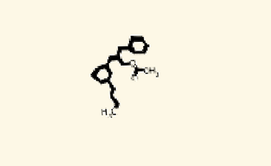 CCCCc1cccc(C=C(COC(C)=O)Cc2ccccc2)c1